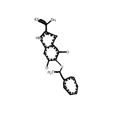 CC(Oc1c(Cl)cc2[nH]c(C(=O)O)cc2c1Cl)c1ccccc1